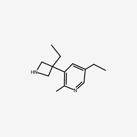 CCc1cnc(C)c(C2(CC)CNC2)c1